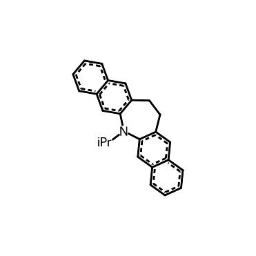 CC(C)N1c2cc3ccccc3cc2CCc2cc3ccccc3cc21